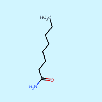 NC(=O)CCCCCCC(=O)O